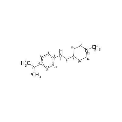 CC(C)c1ccc(NCC2CCN(C)CC2)cc1